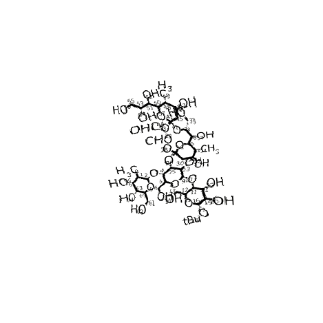 CC1[C@H](O[C@H]2C(CO)O[C@@H](O[C@@H]3C(CO)O[C@@H](OC(C)(C)C)C(O)[C@H]3O)C(O)[C@H]2O[C@]2(OC=O)C[C@@H](O)[C@@H](C)C([C@H](O)[C@@H](CO)O[C@]3(OC=O)C[C@@H](O)[C@@H](C)C([C@H](O)[C@H](O)CO)O3)O2)OC(CO)[C@H](O)[C@@H]1O